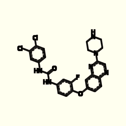 O=C(Nc1ccc(Oc2ccc3ncc(N4CCNCC4)nc3c2)c(F)c1)Nc1ccc(Cl)c(Cl)c1